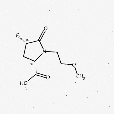 COCCN1C(=O)[C@@H](F)C[C@H]1C(=O)O